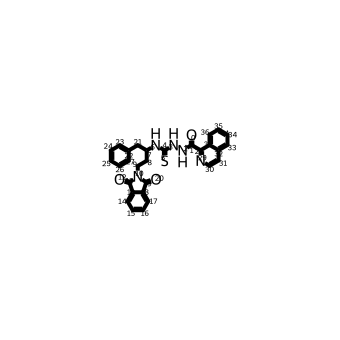 O=C(NNC(=S)NC(CCN1C(=O)c2ccccc2C1=O)Cc1ccccc1)c1nccc2c[c]ccc12